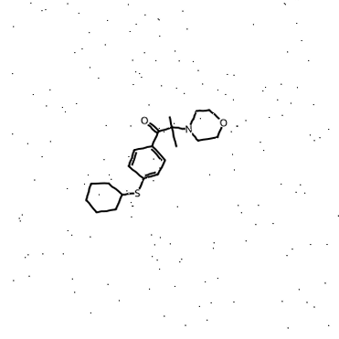 CC(C)(C(=O)c1ccc(SC2CCCCC2)cc1)N1CCOCC1